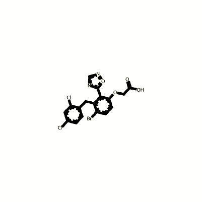 O=C(O)COc1ccc(Br)c(Cc2ccc(Cl)cc2Cl)c1-c1ncno1